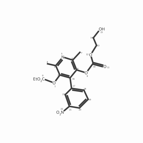 CCOC(=O)Oc1c(C)nc(C)c(OC(=O)OCCO)c1-c1cccc([N+](=O)[O-])c1